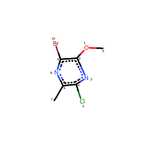 COc1nc(Cl)c(C)nc1Br